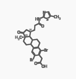 Cc1cnc(NC(=O)CC[C@@H]2CC(=O)[C@@]3(C)CCC4c5cc(Br)c(CC(=O)O)c(Br)c5CCC4C23)s1